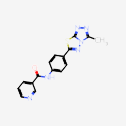 Cc1nnc2sc(-c3ccc(NC(=O)c4cccnc4)cc3)nn12